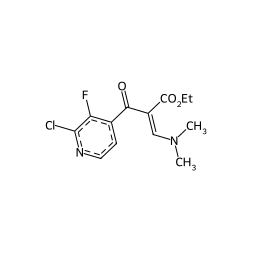 CCOC(=O)C(=CN(C)C)C(=O)c1ccnc(Cl)c1F